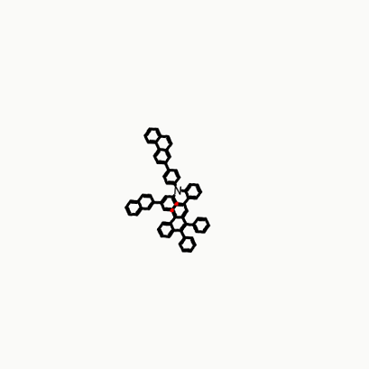 c1ccc(-c2c(-c3ccccc3)c3cc(-c4ccccc4N(c4ccc(-c5ccc6c(ccc7ccccc76)c5)cc4)c4cccc(-c5ccc6ccccc6c5)c4)ccc3c3ccccc23)cc1